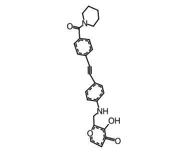 O=C(c1ccc(C#Cc2ccc(NCc3occc(=O)c3O)cc2)cc1)N1CCCCC1